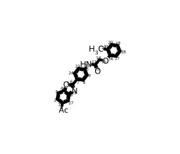 CC(=O)c1ccc2oc(-c3ccc(NC(=O)COc4ccccc4C)cc3)nc2c1